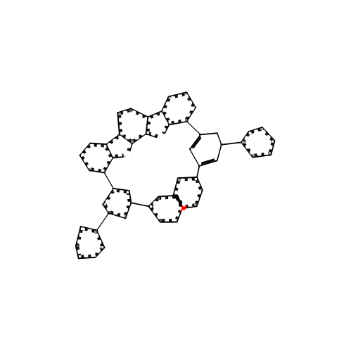 C1=C(c2ccccc2)C=C(c2cccc3c2oc2c3ccc3c4cccc(-c5cc(-c6ccccc6)cc(-c6ccccc6)c5)c4oc32)CC1c1ccccc1